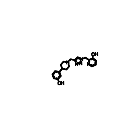 Oc1cccc(C2CCN(Cc3cn(Cc4ncccc4O)nn3)CC2)c1